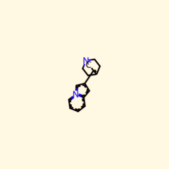 c1ccn2cc(C3=C4CCN(CC4)C3)cc2c1